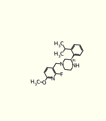 COc1ccc(CN2CCN[C@H](c3ccccc3C(C)C)C2)c(F)n1